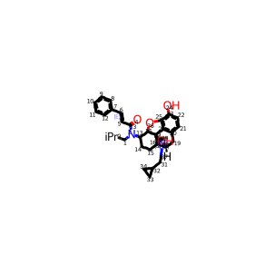 CC(C)CN(C(=O)/C=C/c1ccccc1)C1CC[C@@]2(O)[C@H]3Cc4ccc(O)c5c4[C@@]2(CCN3CC2CC2)C1O5